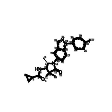 C[C@H]1[C@H](NC(=O)C2CC2)C(C)(C)C(=O)N1c1ccc2c(cnn2-c2ccc(F)cc2)c1